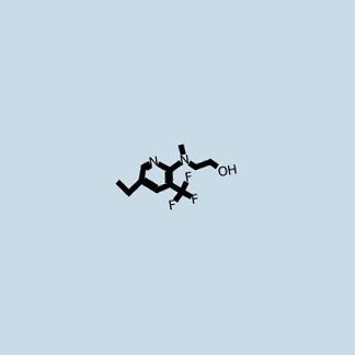 CCc1cnc(N(C)CCO)c(C(F)(F)F)c1